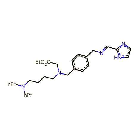 CCCN(CCC)CCCCN(CC(=O)OCC)Cc1ccc(CN=Cc2ncc[nH]2)cc1